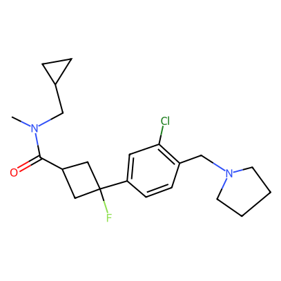 CN(CC1CC1)C(=O)C1CC(F)(c2ccc(CN3CCCC3)c(Cl)c2)C1